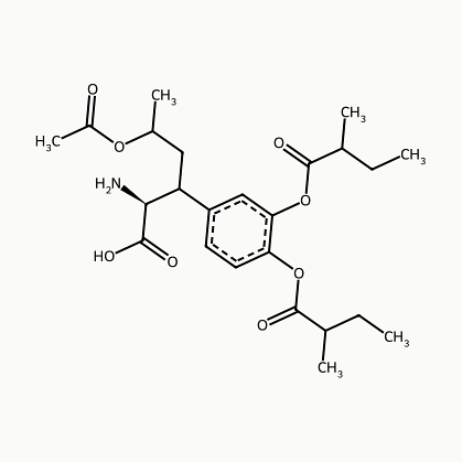 CCC(C)C(=O)Oc1ccc(C(CC(C)OC(C)=O)[C@H](N)C(=O)O)cc1OC(=O)C(C)CC